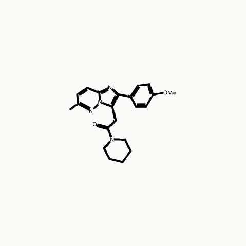 COc1ccc(-c2nc3ccc(C)nn3c2CC(=O)N2CCCCC2)cc1